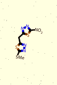 CSc1nnc(Cc2nnc([N+](=O)[O-])s2)s1